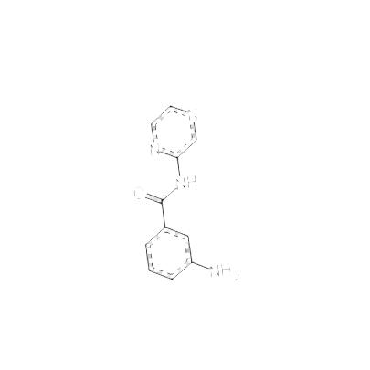 Nc1cccc(C(=O)Nc2cnccn2)c1